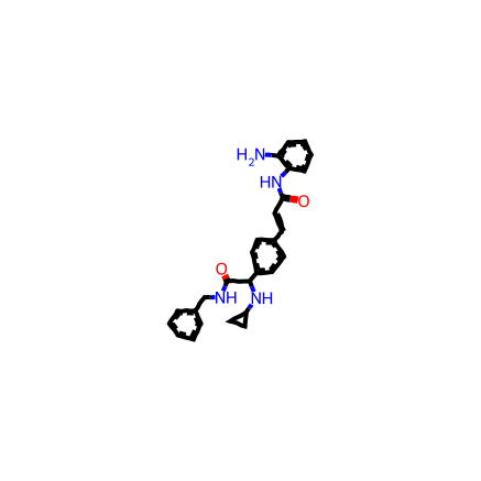 Nc1ccccc1NC(=O)/C=C/c1ccc(C(NC2CC2)C(=O)NCc2ccccc2)cc1